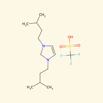 CC(C)CCN1C=CN(CCC(C)C)C1.O=S(=O)(O)C(F)(F)F